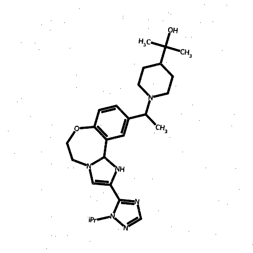 CC(c1ccc2c(c1)C1NC(c3ncnn3C(C)C)=CN1CCO2)N1CCC(C(C)(C)O)CC1